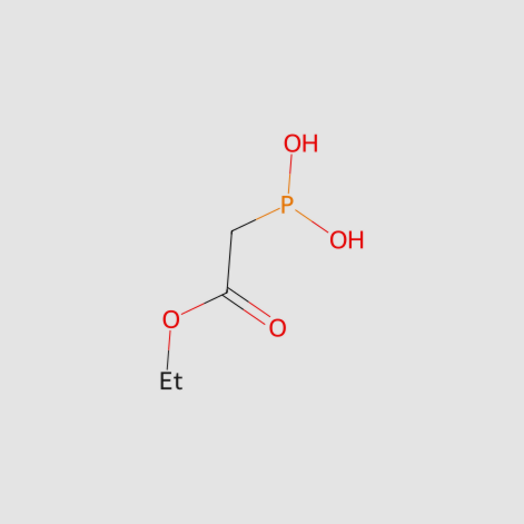 CCOC(=O)CP(O)O